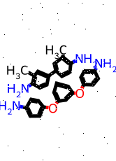 Cc1cc(-c2ccc(N)c(C)c2)ccc1N.Nc1ccc(Oc2cccc(Oc3ccc(N)cc3)c2)cc1